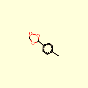 Cc1ccc(C2OCOO2)cc1